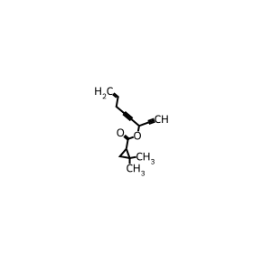 C#CC(C#CCC=C)OC(=O)C1CC1(C)C